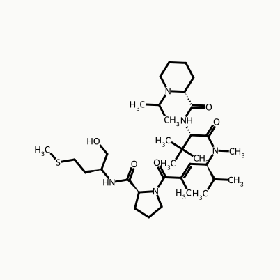 CSCC[C@@H](CO)NC(=O)[C@@H]1CCCN1C(=O)/C(C)=C/[C@H](C(C)C)N(C)C(=O)[C@@H](NC(=O)[C@H]1CCCCN1C(C)C)C(C)(C)C